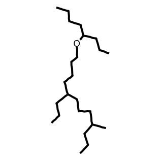 CCCCC(CCC)OCCCCC(CCC)CCCC(C)CCC